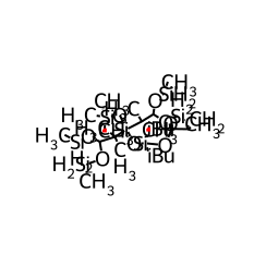 C=CC(=O)O[Si](O[Si](O[Si](C)(C)C)(C(C)(C)C(O[SiH2]C)O[SiH2]C)C(C)(C)C(O[SiH2]C)O[SiH2]C)(C(C)CC)C(C)CC